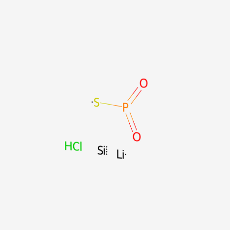 Cl.O=P(=O)[S].[Li].[Si]